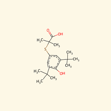 CC(C)(Sc1cc(C(C)(C)C)c(O)c(C(C)(C)C)c1)C(=O)O